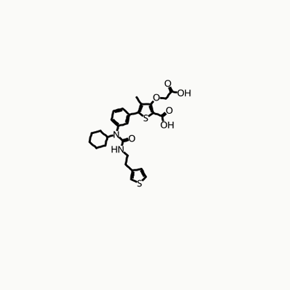 Cc1c(-c2cccc(N(C(=O)NCCc3ccsc3)C3CCCCC3)c2)sc(C(=O)O)c1OCC(=O)O